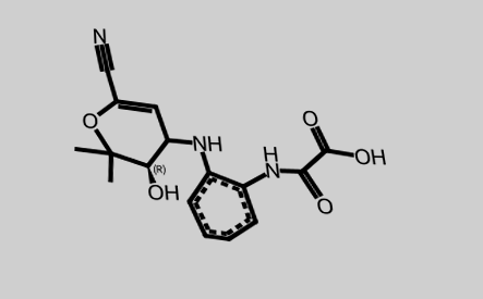 CC1(C)OC(C#N)=CC(Nc2ccccc2NC(=O)C(=O)O)[C@H]1O